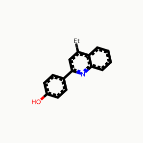 CCc1cc(-c2ccc(O)cc2)nc2ccccc12